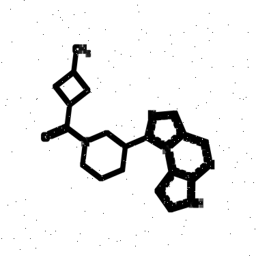 CC1CC(C(=O)N2CCCC(c3ncc4cnc5[nH]ccc5n34)C2)C1